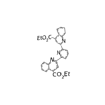 CCOC(=O)c1cc(-c2cccc(-c3cc(C(=O)OCC)c4ccccc4n3)n2)nc2ccccc12